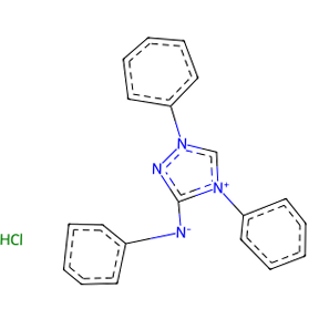 Cl.c1ccc([N-]c2nn(-c3ccccc3)c[n+]2-c2ccccc2)cc1